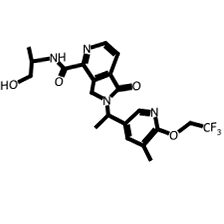 Cc1cc(C(C)N2Cc3c(ccnc3C(=O)NC(C)CO)C2=O)cnc1OCC(F)(F)F